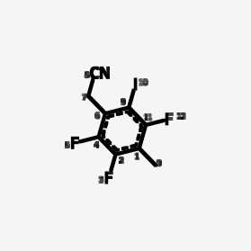 Cc1c(F)c(F)c(CC#N)c(I)c1F